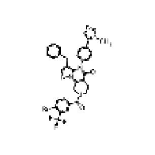 Cn1cncc1-c1ccc(-n2c(=O)c3c(n4ncc(Cc5ccccc5)c24)CN(C(=O)c2ccc(Br)c(C(F)(F)F)c2)CC3)cc1